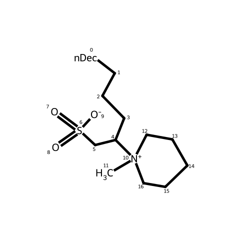 CCCCCCCCCCCCCC(CS(=O)(=O)[O-])[N+]1(C)CCCCC1